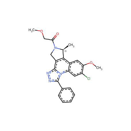 COCC(=O)N1Cc2c(c3cc(OC)c(Cl)cc3n3c(-c4ccccc4)nnc23)[C@@H]1C